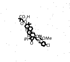 COCC(=O)N(Cc1ccc(Cl)cc1)C[C@H](O)[C@@]12CC[C@]3(C)[C@H](CC[C@@H]4[C@@]5(C)CC[C@H](OC(=O)CC(C)(C)C(=O)O)C(C)(C)C5CC[C@]43C)C1=C(C(C)C)C(=O)C2